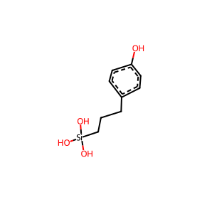 Oc1ccc(CCC[Si](O)(O)O)cc1